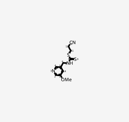 COc1cncc(CNC(=S)SCCC#N)c1